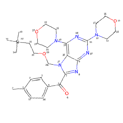 Cc1ccc(C(=O)c2nc3nc(N4CCOCC4)nc(N4CCOCC4)c3n2COCC[Si](C)(C)C)cc1